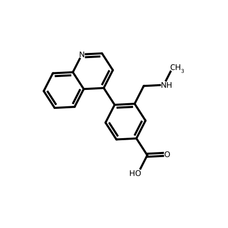 CNCc1cc(C(=O)O)ccc1-c1ccnc2ccccc12